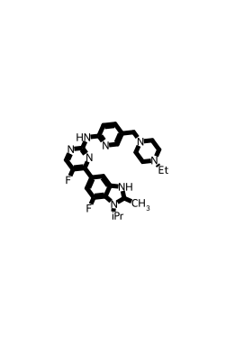 CCN1CCN(Cc2ccc(Nc3ncc(F)c(-c4cc(F)c5c(c4)NC(C)N5C(C)C)n3)nc2)CC1